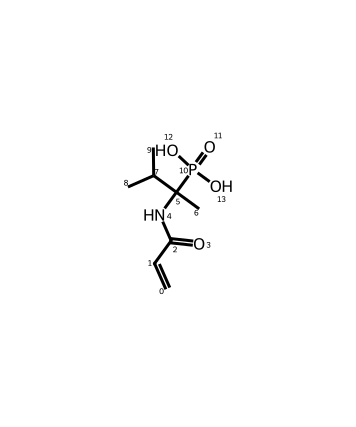 C=CC(=O)NC(C)(C(C)C)P(=O)(O)O